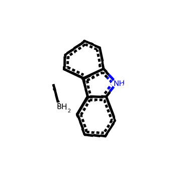 BC.c1ccc2c(c1)[nH]c1ccccc12